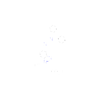 CC(C)Cn1c(CCC(=O)O)nc2cc(CN3CCN(C(c4ccccc4)c4ccccc4)CC3)ccc21